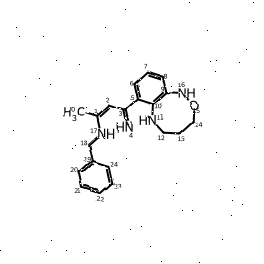 C/C(=C/C(=N)c1cccc2c1NCCCON2)NCc1ccccc1